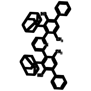 Cc1cc(-c2ccccc2)c(O)c(C23CC4CC(CC(C4)C2)C3)c1-c1cccc(-c2c(C)cc(-c3ccccc3)c(O)c2C23CC4CC(CC(C4)C2)C3)n1